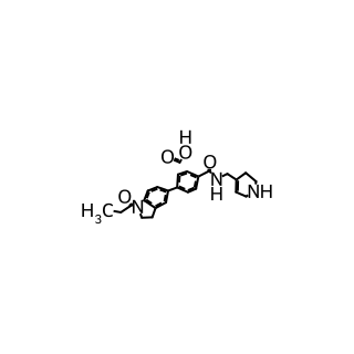 CCC(=O)N1CCc2cc(-c3ccc(C(=O)NCC4=CCNCC4)cc3)ccc21.O=CO